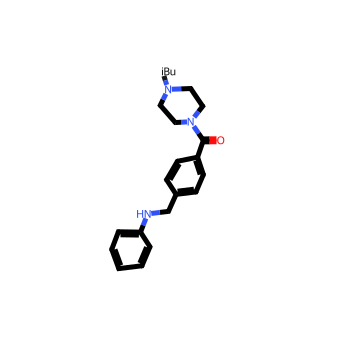 CCC(C)N1CCN(C(=O)c2ccc(CNc3ccccc3)cc2)CC1